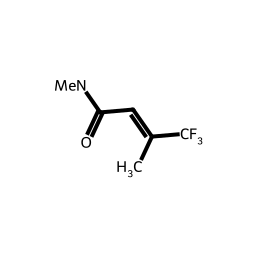 CNC(=O)/C=C(\C)C(F)(F)F